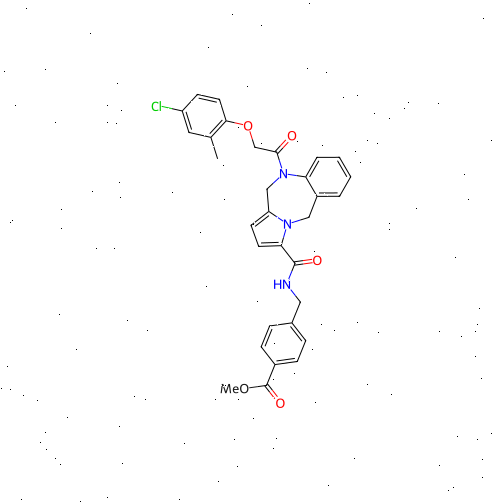 COC(=O)c1ccc(CNC(=O)c2ccc3n2Cc2ccccc2N(C(=O)COc2ccc(Cl)cc2C)C3)cc1